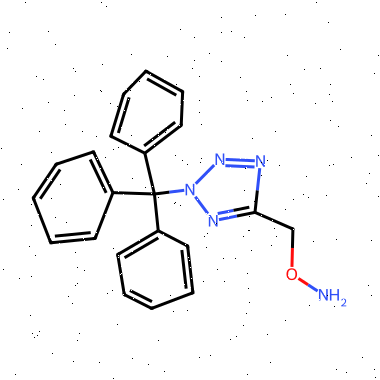 NOCc1nnn(C(c2ccccc2)(c2ccccc2)c2ccccc2)n1